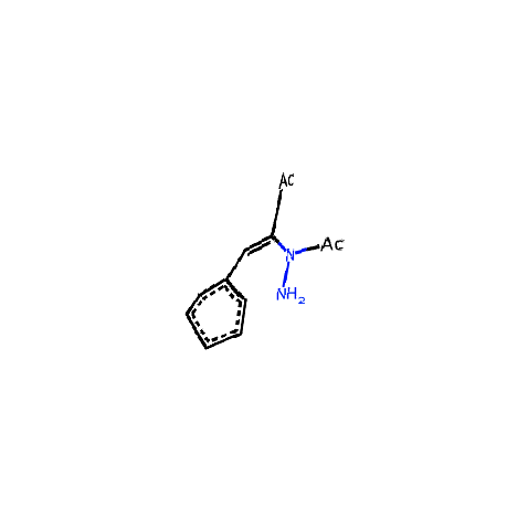 CC(=O)C(=Cc1ccccc1)N(N)C(C)=O